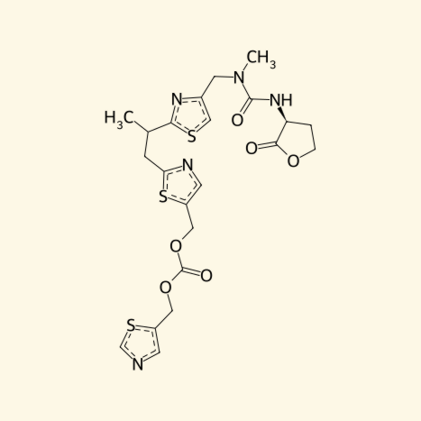 CC(Cc1ncc(COC(=O)OCc2cncs2)s1)c1nc(CN(C)C(=O)N[C@H]2CCOC2=O)cs1